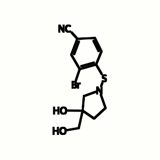 N#Cc1ccc(SN2CCC(O)(CO)C2)c(Br)c1